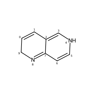 C1=CC2=CNC=CC2=NC1